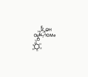 COC1CN(C(=O)OCc2ccccc2)CC(F)C1O